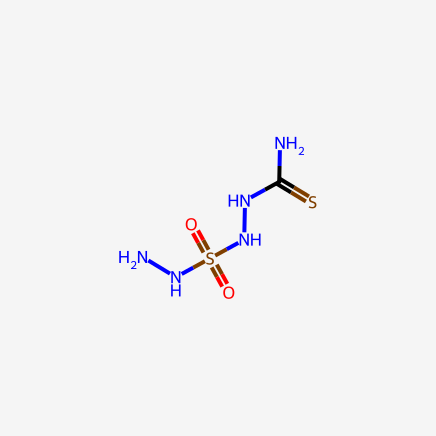 NNS(=O)(=O)NNC(N)=S